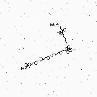 CSCCC(=O)NCCCCCCOP(=O)(S)OCCOCCOCCOCCOCCOCCOP(C)(=O)S